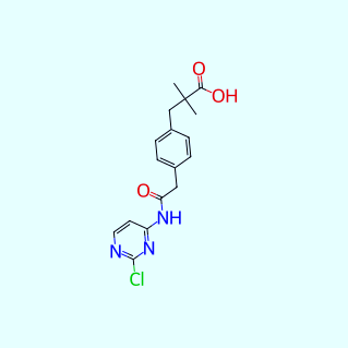 CC(C)(Cc1ccc(CC(=O)Nc2ccnc(Cl)n2)cc1)C(=O)O